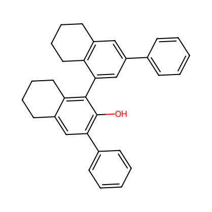 Oc1c(-c2ccccc2)cc2c(c1-c1cc(-c3ccccc3)cc3c1CCCC3)CCCC2